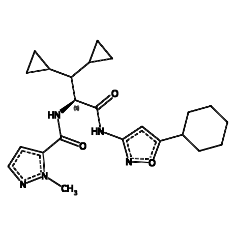 Cn1nccc1C(=O)N[C@H](C(=O)Nc1cc(C2CCCCC2)on1)C(C1CC1)C1CC1